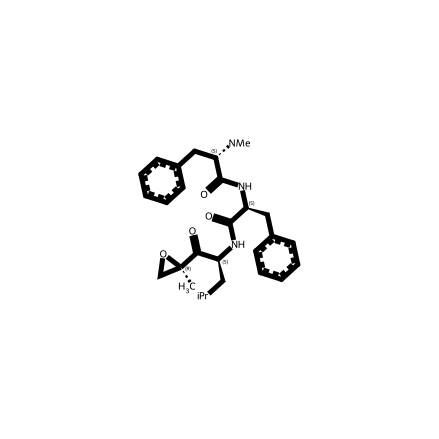 CN[C@@H](Cc1ccccc1)C(=O)N[C@@H](Cc1ccccc1)C(=O)N[C@@H](CC(C)C)C(=O)[C@@]1(C)CO1